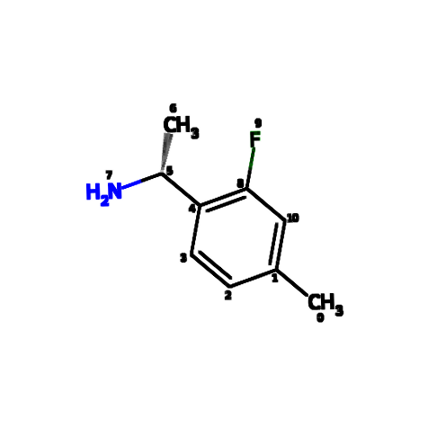 Cc1ccc([C@@H](C)N)c(F)c1